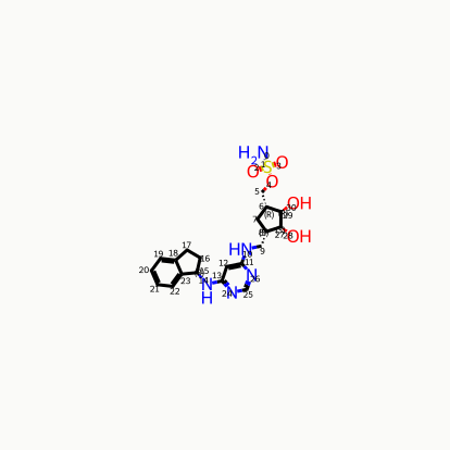 NS(=O)(=O)OC[C@H]1C[C@@H](CNc2cc(N[C@@H]3CCc4ccccc43)ncn2)[C@H](O)[C@@H]1O